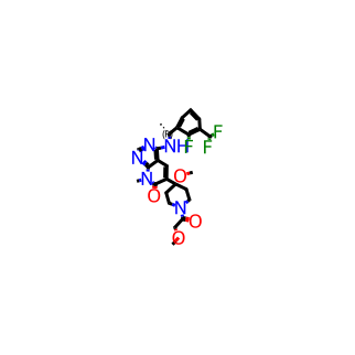 COCC(=O)N1CCC(OC)(c2cc3c(N[C@H](C)c4cccc(C(F)F)c4F)ncnc3n(C)c2=O)CC1